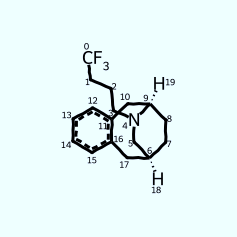 FC(F)(F)CCCN1C[C@H]2CC[C@@H]1Cc1ccccc1C2